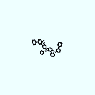 C1=C(c2cc3sc4ccc(-c5ccccc5)cc4c3cc2Nc2ccccc2)CCc2c1c1ccccc1n2-c1cccc(-c2ccccc2)c1